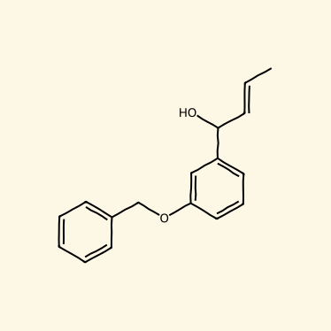 CC=CC(O)c1cccc(OCc2ccccc2)c1